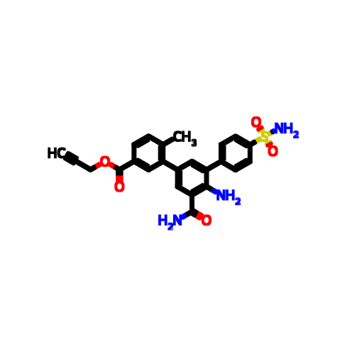 C#CCOC(=O)c1ccc(C)c(-c2cc(C(N)=O)c(N)c(-c3ccc(S(N)(=O)=O)cc3)c2)c1